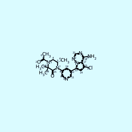 CC(=O)N1C[C@H](C)N(c2cncc(-c3cc(Cl)c4c(N)ncnn34)c2)C(=O)C1(C)C